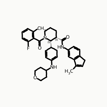 CC1=CCc2ccc(NC(=O)[C@H]3CCCN(C(=O)c4c(C)cccc4F)[C@H]3C3C=CC(NC4CCOCC4)=CC3)cc21